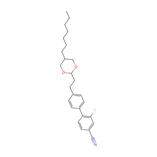 CCCCCCCC1COC(CCc2ccc(-c3ccc(C#N)cc3F)cc2)OC1